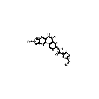 CCn1cc2ncc(N[C@@H](C)c3cccc(NC(=O)c4cnc(CO)s4)c3)nc2n1